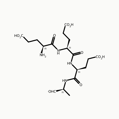 C[C@@H]([C]=O)NC(=O)[C@H](CCC(=O)O)NC(=O)[C@H](CCC(=O)O)NC(=O)[C@@H](N)CCC(=O)O